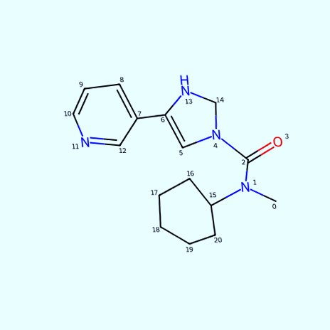 CN(C(=O)N1C=C(c2cccnc2)NC1)C1CCCCC1